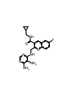 Nc1ncnc(NCc2nc3ccc(F)cc3cc2C(=O)NCC2CC2)c1N